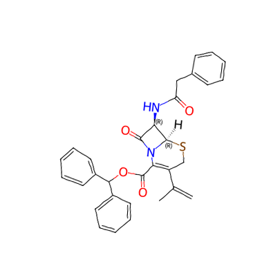 C=C(C)C1=C(C(=O)OC(c2ccccc2)c2ccccc2)N2C(=O)[C@@H](NC(=O)Cc3ccccc3)[C@H]2SC1